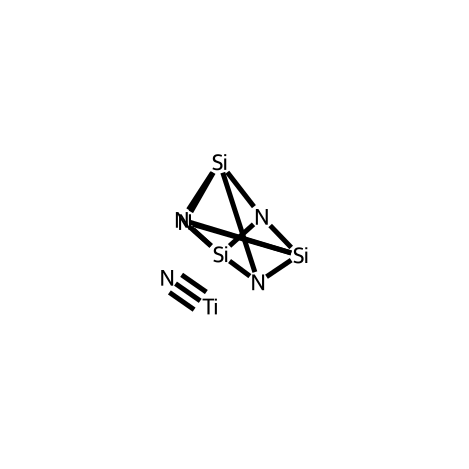 N12[Si]34N5[Si]16N3[Si]25N46.[N]#[Ti]